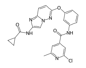 Cc1cc(C(=O)Nc2cccc(Oc3ccc4nc(NC(=O)C5CC5)cn4n3)c2)cc(Cl)n1